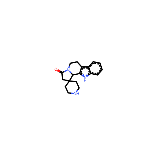 O=C1CC2(CCNCC2)C2c3[nH]c4ccccc4c3CCN12